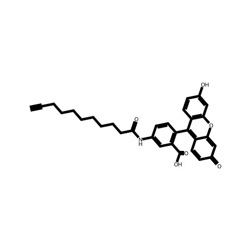 C#CCCCCCCCCC(=O)Nc1ccc(-c2c3ccc(=O)cc-3oc3cc(O)ccc23)c(C(=O)O)c1